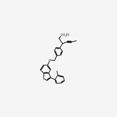 CC#CC(CC(=O)OCC)c1ccc(COc2ccc3scc(-c4ccccc4C)c3c2)cc1